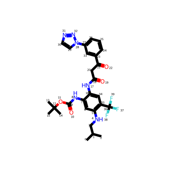 CC(C)CNc1cc(NC(=O)OC(C)(C)C)c(NC(=O)CC(=O)c2cccc(-n3ccnn3)c2)cc1C(F)(F)F